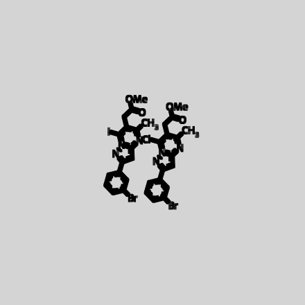 COC(=O)Cc1c(C)nc2cc(-c3cccc(Br)c3)nn2c1Cl.COC(=O)Cc1c(C)nc2cc(-c3cccc(Br)c3)nn2c1I